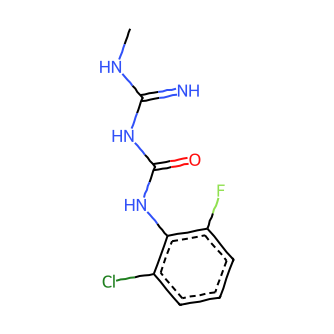 CNC(=N)NC(=O)Nc1c(F)cccc1Cl